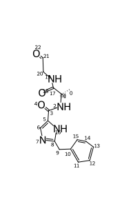 C[C@H](NC(=O)c1cnc(Cc2ccccc2)[nH]1)C(=O)NCC=O